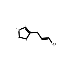 OC=CCC1=COCC1